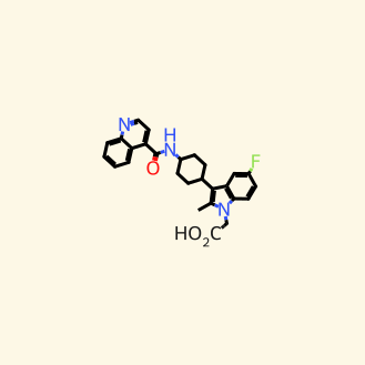 Cc1c(C2CCC(NC(=O)c3ccnc4ccccc34)CC2)c2cc(F)ccc2n1CC(=O)O